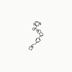 O=C(c1cnccn1)N1CC2CC=C(c3ccc(CCN4CCCC4)cc3)C2C1